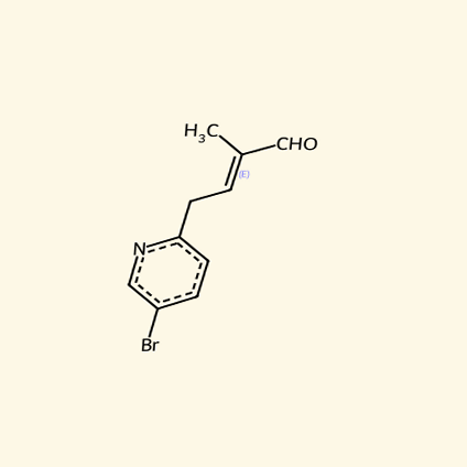 C/C(C=O)=C\Cc1ccc(Br)cn1